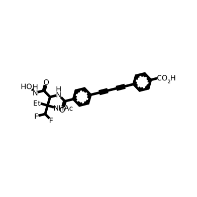 CCC(NC(C)=O)(C(F)F)C(NC(=O)c1ccc(C#CC#Cc2ccc(C(=O)O)cc2)cc1)C(=O)NO